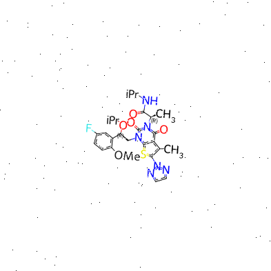 COc1ccc(F)cc1[C@H](Cn1c(=O)n([C@H](C)C(=O)NC(C)C)c(=O)c2c(C)c(-n3nccn3)sc21)OC(C)C